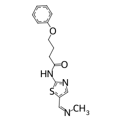 C/N=C\c1cnc(NC(=O)CCCOc2ccccc2)s1